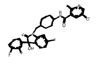 Cc1ncc(Cl)cc1C(=O)NC1CCC(CN2C(=O)C(O)(c3cccc(F)c3F)c3ccc(F)cc32)CC1